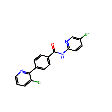 O=C(Nc1ccc(Br)cn1)c1ccc(-c2ncccc2Cl)cc1